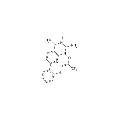 CN1C(N)c2ccc(-c3ccccc3I)nc2N(OC(=O)C(F)(F)F)C1N